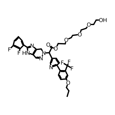 CCCOc1ccc(-c2ccc(C(C(=O)OCCOCCOCCOCCO)N3Cc4nc(-c5cccc(F)c5F)[nH]c4C=N3)cn2)c(C(F)(F)F)c1